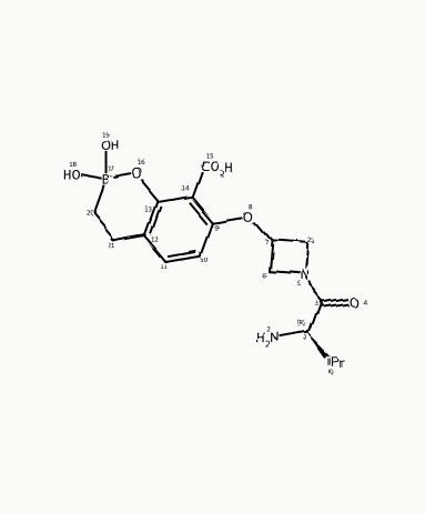 CC(C)[C@@H](N)C(=O)N1CC(Oc2ccc3c(c2C(=O)O)O[B-](O)(O)CC3)C1